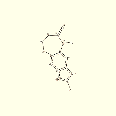 Cc1nc2cc3c(cc2[nH]1)CCCC(=O)N3C